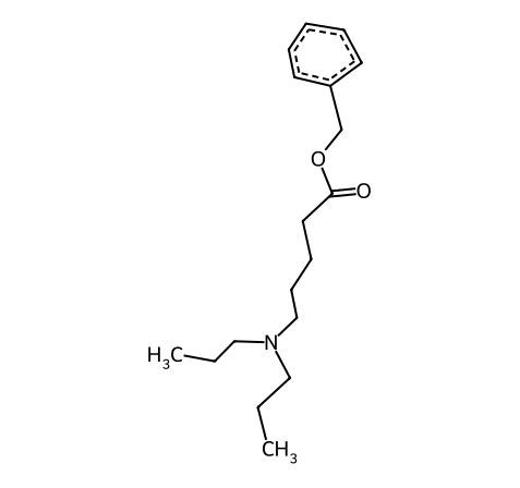 CCCN(CCC)CCCCC(=O)OCc1ccccc1